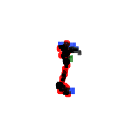 CCOc1cc2oc(-c3ccc(OCCOCCOCCOCCOc4cccc5c4C(=O)N(C4CCC(=O)NC4=O)C5=O)cc3Cl)cc(=O)c2cc1-c1cc(C(N)=O)cc(C(N)=O)c1